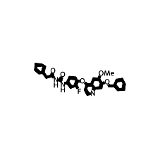 COc1cc2c(Oc3ccc(NC(=O)NC(=O)Cc4ccccc4)cc3F)ccnc2cc1OCc1ccccc1